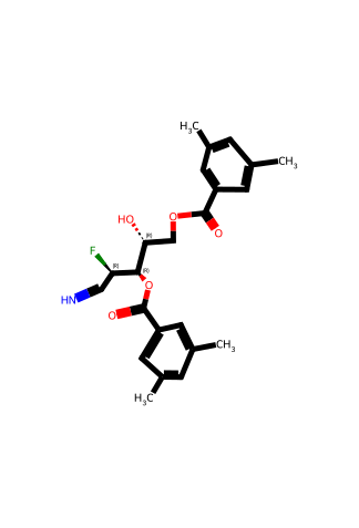 Cc1cc(C)cc(C(=O)OC[C@@H](O)[C@@H](OC(=O)c2cc(C)cc(C)c2)[C@H](F)C=N)c1